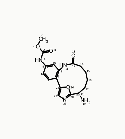 COC(=O)Nc1ccc2c(c1)NC(=O)CCCC[C@H](N)c1ncc-2o1